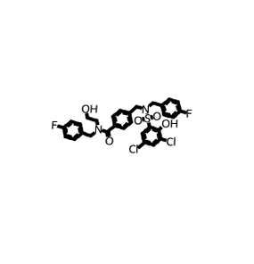 O=C(c1ccc(CN(Cc2ccc(F)cc2)S(=O)(=O)c2cc(Cl)cc(Cl)c2O)cc1)N(CCO)Cc1ccc(F)cc1